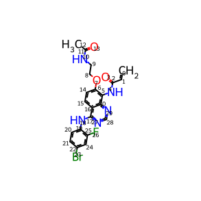 C=CC(=O)Nc1c(OCCNC(C)=O)ccc2c(Nc3ccc(Br)cc3F)ncnc12